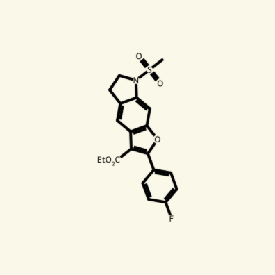 CCOC(=O)c1c(-c2ccc(F)cc2)oc2cc3c(cc12)CCN3S(C)(=O)=O